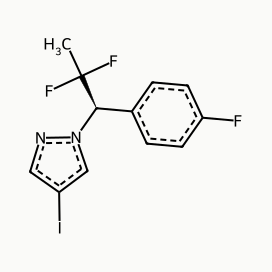 CC(F)(F)[C@@H](c1ccc(F)cc1)n1cc(I)cn1